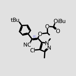 Cc1nn(C)c(/C(OC(C)OC(=O)OCC(C)C)=C(\C#N)c2ccc(C(C)(C)C)cc2)c1Cl